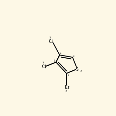 CCc1scc(Cl)c1Cl